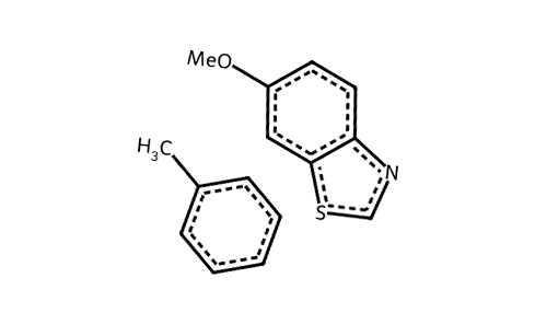 COc1ccc2ncsc2c1.Cc1ccccc1